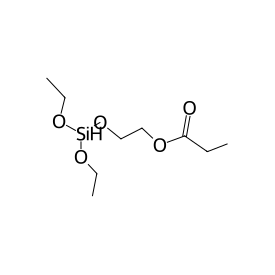 CCO[SiH](OCC)OCCOC(=O)CC